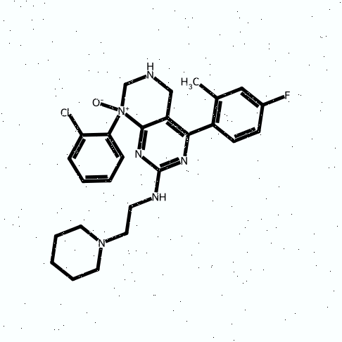 Cc1cc(F)ccc1-c1nc(NCCN2CCCCC2)nc2c1CNC[N+]2([O-])c1ccccc1Cl